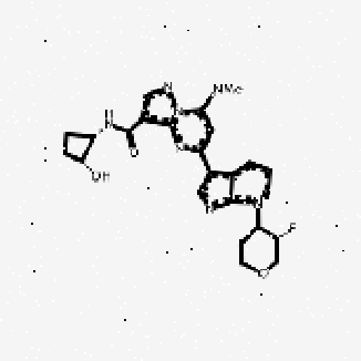 CNc1cc(-c2cnc3n(C4CCOC[C@H]4F)cccc2-3)nc2c(C(=O)N[C@H]3CC[C@H]3O)cnn12